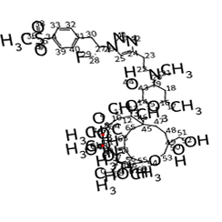 CC[C@H]1OC(=O)[C@H](C)C(=O)[C@H](C)[C@@H](O[C@@H]2O[C@H](C)C[C@H](N(C)CCc3cn([C@H](CF)Cc4ccc(S(C)(=O)=O)cc4)nn3)[C@H]2O)[C@]2(C)CCC(O)(CO)CO[C@H]([C@@H](C)/C(=N/C(C)=O)[C@H](C)C2)[C@]1(C)O